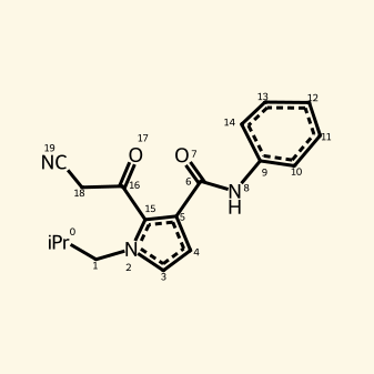 CC(C)Cn1ccc(C(=O)Nc2ccccc2)c1C(=O)CC#N